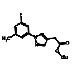 Cc1cc(F)cc(-n2cc(CC(=O)OC(C)(C)C)cn2)c1